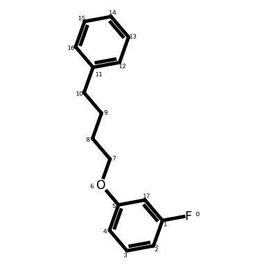 Fc1[c]ccc(OCCCCc2ccccc2)c1